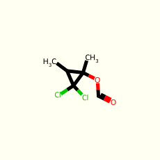 CC1C(Cl)(Cl)C1(C)OC=O